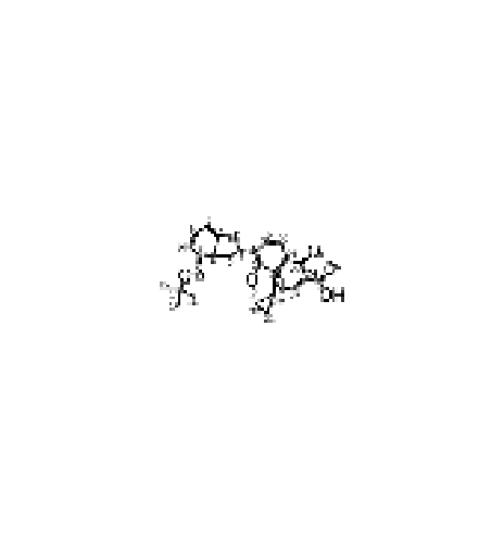 COc1c(C2CC3C(=CC=CC3=NOC(C)(C)C)S2)ccc2c(=O)c(C(=O)O)cn(C3CC3)c12